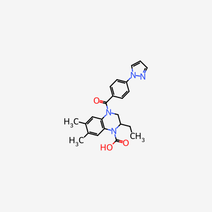 CCC1CN(C(=O)c2ccc(-n3cccn3)cc2)c2cc(C)c(C)cc2N1C(=O)O